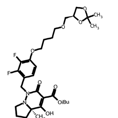 CC(C)COC(=O)C1=C(O)[C@@]2(C)CCCN2N(Cc2ccc(OCCCCOC[C@H]3COC(C)(C)O3)c(F)c2F)C1=O